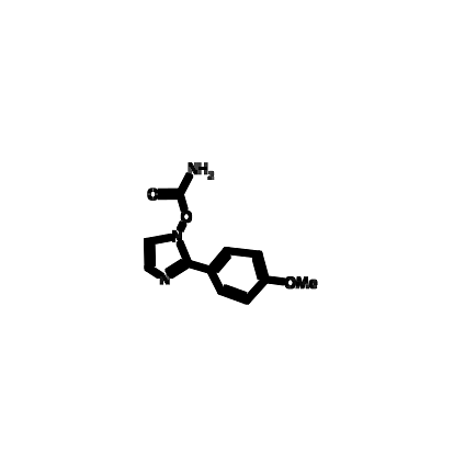 COc1ccc(-c2nccn2OC(N)=O)cc1